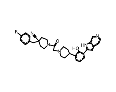 N#CC1(Cc2ccc(F)cc2)CCN(C(=O)CN2CCC(c3cccc(-c4cc5ccncc5[nH]4)c3O)CC2)CC1